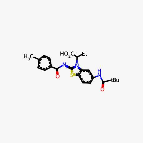 CCC(C(=O)O)n1c(=NC(=O)c2ccc(C)cc2)sc2ccc(NC(=O)C(C)(C)C)cc21